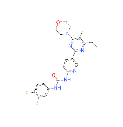 CCc1nc(-c2ccc(NC(=O)Nc3ccc(F)c(F)c3)nc2)nc(N2CCOCC2)c1C